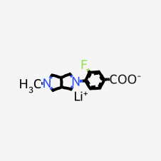 CN1CC2CN(c3ccc(C(=O)[O-])cc3F)CC2C1.[Li+]